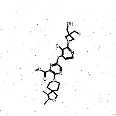 COC(=O)c1nc(Sc2ccnc(N3CC(CO)(CF)C3)c2Cl)cnc1N1CCC2(CC1)CO[C@@H](C)[C@H]2C